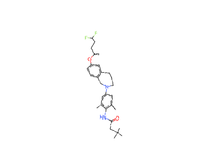 C=C(CCC(F)F)Oc1ccc2c(c1)CCCN(c1cc(C)c(NC(=O)CC(C)(C)C)c(C)c1)C2